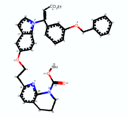 CCOC(=O)C=C(c1cccc(OCc2ccccc2)c1)n1ccc2cc(OCCc3ccc4c(n3)N(C(=O)OC(C)(C)C)CCC4)ccc21